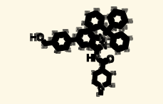 CN1CCC(C(=O)Nc2nn(C(c3ccccc3)(c3ccccc3)c3ccccc3)c3ccc(-c4ccc(CO)cc4)cc23)CC1